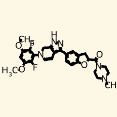 COc1cc(OC)c(F)c(N2C=Cc3c(-c4ccc5c(c4)CC(C(=O)N4CCN(C)CC4)O5)n[nH]c3C2)c1F